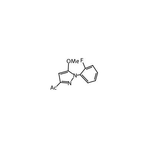 COc1cc(C(C)=O)nn1-c1ccccc1F